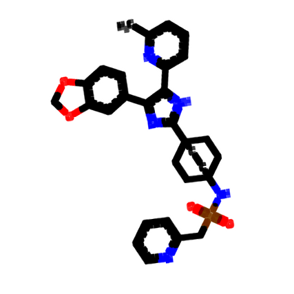 Cc1cccc(-c2[nH]c(C34CCC(NS(=O)(=O)Cc5ccccn5)(CC3)CC4)nc2-c2ccc3c(c2)OCO3)n1